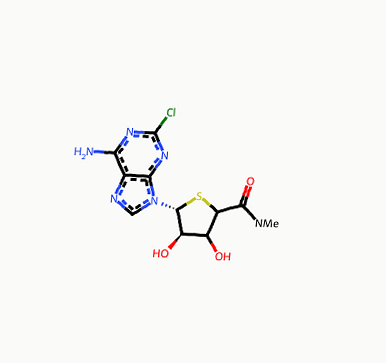 CNC(=O)C1S[C@@H](n2cnc3c(N)nc(Cl)nc32)[C@H](O)C1O